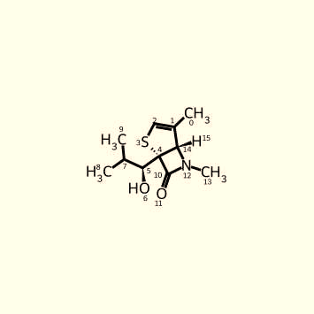 CC1=CS[C@@]2([C@@H](O)C(C)C)C(=O)N(C)[C@@H]12